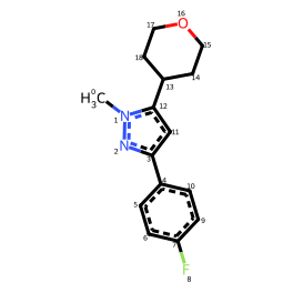 Cn1nc(-c2ccc(F)cc2)cc1C1CCOCC1